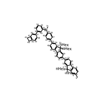 CCCCCCC1(CCCCCC)c2cc(C)ccc2-c2ccc(-c3ccc4c(c3)C(CCCCCC)(CCCCCC)c3cc(-c5ccc(N(C)c6cccc(-c7ccc8c(c7)CC8)c6)cc5)ccc3-4)cc21